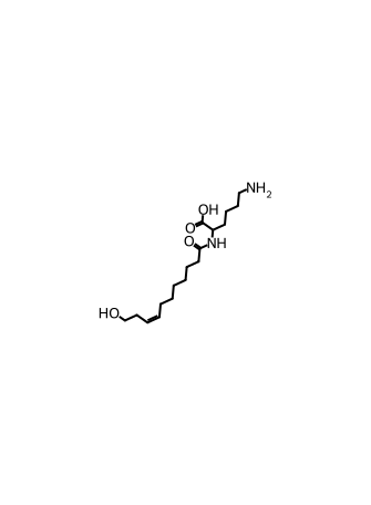 NCCCCC(NC(=O)CCCCCC/C=C\CCO)C(=O)O